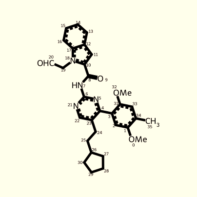 COc1cc(-c2nc(NC(=O)c3cc4ccccc4n3CC=O)ncc2CCC2CCCC2)c(OC)cc1C